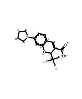 O=C(O)C1=Cc2ccc(N3CCCC3)cc2OC1C(F)(F)F